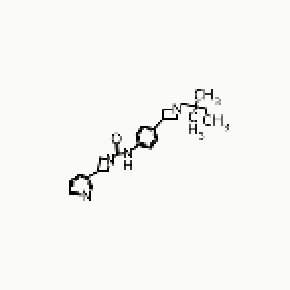 CCC(C)(C)CN1CC(c2ccc(NC(=O)N3CC(c4cccnc4)C3)cc2)C1